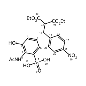 CC(=O)Nc1c(O)cccc1[As](=O)(O)O.CCOC(=O)C(Cc1ccc([N+](=O)[O-])cc1)C(=O)OCC